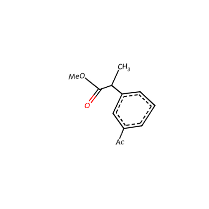 COC(=O)C(C)c1cccc(C(C)=O)c1